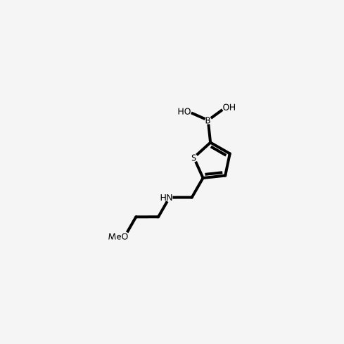 COCCNCc1ccc(B(O)O)s1